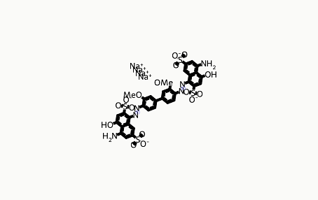 COc1cc(-c2ccc(/N=N/c3c(S(=O)(=O)[O-])cc(O)c4c(N)cc(S(=O)(=O)[O-])cc34)c(OC)c2)ccc1/N=N/c1c(S(=O)(=O)[O-])cc(O)c2c(N)cc(S(=O)(=O)[O-])cc12.[Na+].[Na+].[Na+].[Na+]